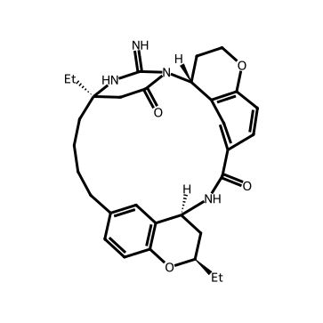 CC[C@@H]1C[C@@H]2NC(=O)c3ccc4c(c3)[C@@H](CCO4)N3C(=N)N[C@](CC)(CCCCc4ccc(c2c4)O1)CC3=O